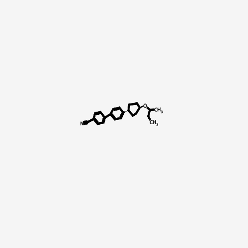 CCC(C)O[C@H]1CC[C@H](c2ccc(-c3ccc(C#N)cc3)cc2)CC1